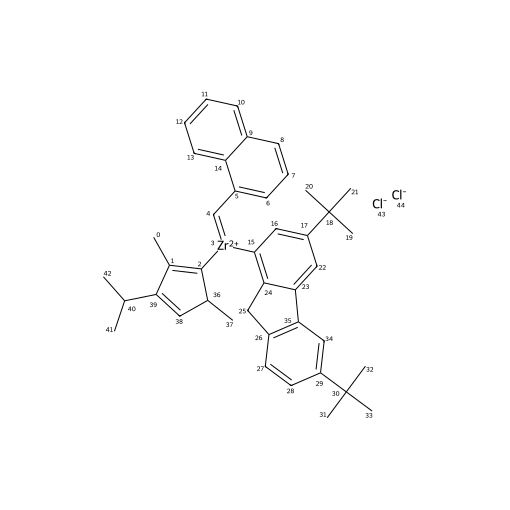 CC1=[C](/[Zr+2](=[CH]/c2cccc3ccccc23)[c]2cc(C(C)(C)C)cc3c2Cc2ccc(C(C)(C)C)cc2-3)C(C)C=C1C(C)C.[Cl-].[Cl-]